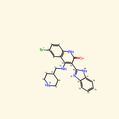 O=c1[nH]c2ccc(Br)cc2c(NCC2CCNCC2)c1-c1nc2ccccc2[nH]1